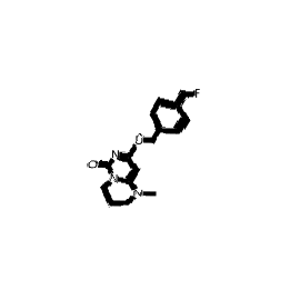 CN1CCCn2c1cc(OCc1ccc(CF)cc1)nc2=O